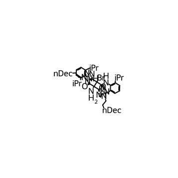 CCCCCCCCCCCCn1nnc(C(N)(C(=O)Nc2c(C(C)C)cccc2C(C)C)C(Br)(C(=O)Nc2c(C(C)C)cccc2C(C)C)c2nnn(CCCCCCCCCCCC)n2)n1